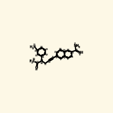 N=C(N)c1ccc2cc(C#CCN(C(=O)C(F)(F)F)c3cccc(N)c3)ccc2c1